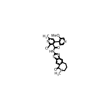 COc1cnccc1-c1cc(C)nc(Cl)c1C(=O)Nc1nc2cc3c(cc2s1)C(=O)N(C)CCC3